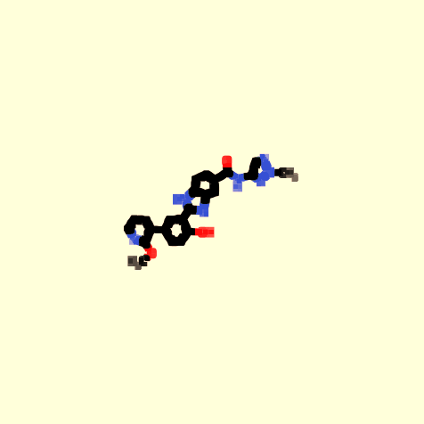 COc1ncccc1-c1ccc(O)c(-c2nc3cc(C(=O)Nc4cnn(C)n4)ccc3[nH]2)c1